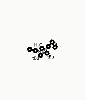 Cc1cc2c3c(c1)N(c1ccc(-c4ccccc4)cc1)c1cc(C(C)(C)C)ccc1B3c1cc(C(C)(C)C)ccc1N2c1ccc(-c2cccc3sc4ccccc4c23)cc1